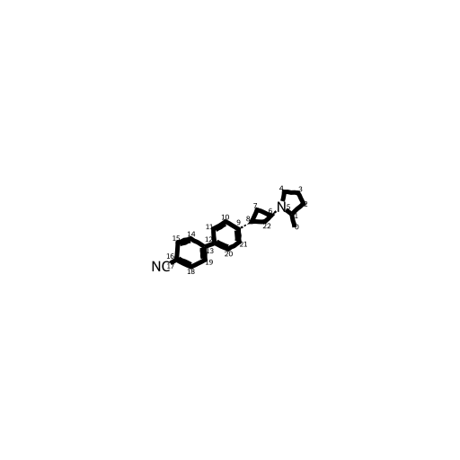 CC1CCCN1[C@H]1C[C@@H](c2ccc(-c3ccc(C#N)cc3)cc2)C1